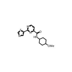 COC1CCC(NC(=O)c2ccnc(-c3cncs3)n2)CC1